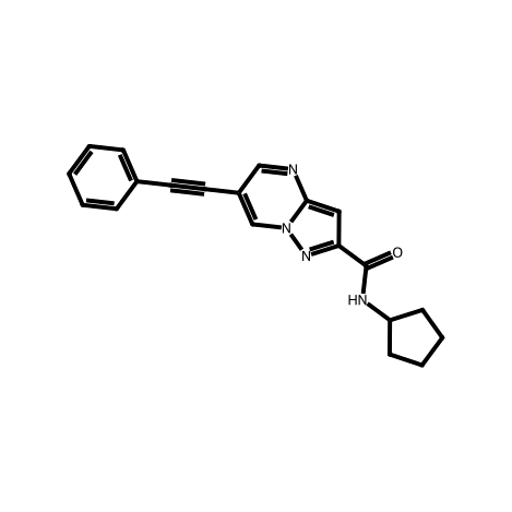 O=C(NC1CCCC1)c1cc2ncc(C#Cc3ccccc3)cn2n1